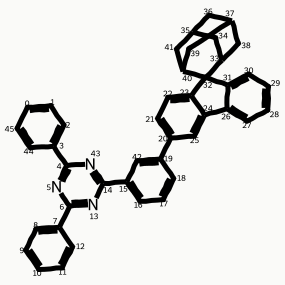 c1ccc(-c2nc(-c3ccccc3)nc(-c3cccc(-c4ccc5c(c4)-c4ccccc4C54C5CC6CC(C5)CC4C6)c3)n2)cc1